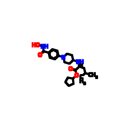 CC(C)C[C@H](NC1CCN(c2ccc(C(=O)NO)cc2)CC1)C(=O)OC1CCCC1